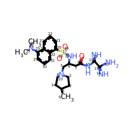 CC1CCN(CC(CC(=O)NC(=N)C(=N)N)NS(=O)(=O)c2cccc3c(N(C)C)cccc23)CC1